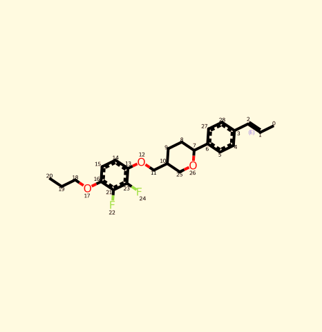 C/C=C/c1ccc(C2CCC(COc3ccc(OCCC)c(F)c3F)CO2)cc1